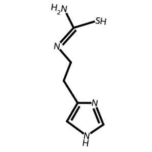 NC(S)=NCCc1c[nH]cn1